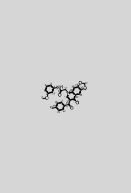 COc1cccc(NC(=O)Cn2cc(C(=O)c3ccc(C)cc3)c(=O)c3cc4c(cc32)OCO4)c1